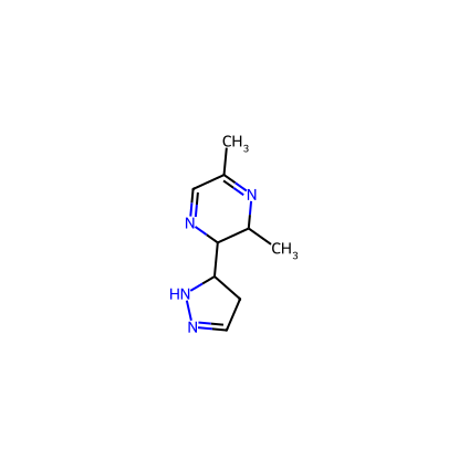 CC1=NC(C)C(C2CC=NN2)N=C1